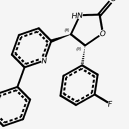 O=C1N[C@H](c2cccc(-c3ccccc3)n2)[C@@H](c2cccc(F)c2)O1